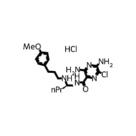 CCC[C@H](CNC(=O)c1nc(Cl)c(N)nc1N)NCCCc1ccc(OC)cc1.Cl